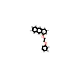 c1ccc(OCCOC2CCCc3cc4ccccc4cc32)cc1